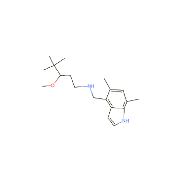 COC(CCNCc1c(C)cc(C)c2[nH]ccc12)C(C)(C)C